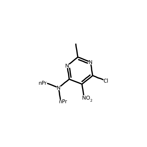 CCCN(CCC)c1nc(C)nc(Cl)c1[N+](=O)[O-]